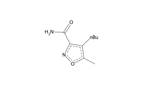 CCCCc1c(C(N)=O)noc1C